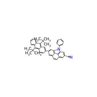 CC(C)(C)c1c2ccccc2c(C(C)(C)C)c2cc(-c3cc4ccc5cc(C#N)cc6c5c4c(c3)n6-c3ccccc3)ccc12